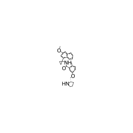 COc1cc(C2(NC(=O)c3cc(OC[C@@H]4CCCN4)ccc3C)CC2)c2ccccc2c1